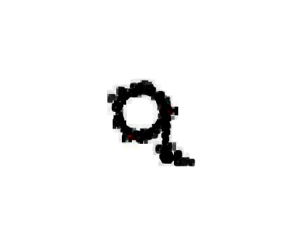 C=C1C(=O)N(C)[C@@H](CC(C)C)C(=O)N[C@H](C(C)C)C(=O)N(C)[C@H](CC(C)C)C(=O)N[C@H](C)C(=O)N[C@@H](C)C(=O)N(C)[C@@H](CC(C)C)C(=O)N(C)[C@@H](CC(C)C)C(=O)N(C)[C@@H](C(C)C)C(=O)N(C)[C@@H]([C@H](O)[C@H](C)CCCCCCCNC(=O)c2cccc(C(=O)OC)c2)C(=O)N[C@@H](CC)C(=O)N1C